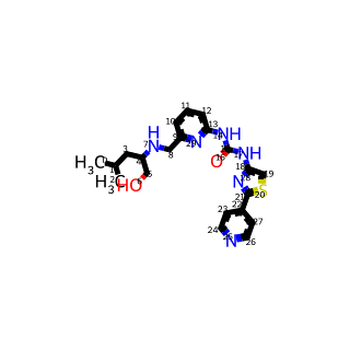 CC(C)CC(CO)NCc1cccc(NC(=O)Nc2csc(-c3ccncc3)n2)n1